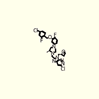 C[C@H]1CN(c2ccc(F)c(OCc3ccc(Cl)cc3F)c2)CCN1Cc1nc2cc(Cl)nnc2n1C[C@@H]1CCO1